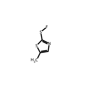 Cc1cnc(SF)s1